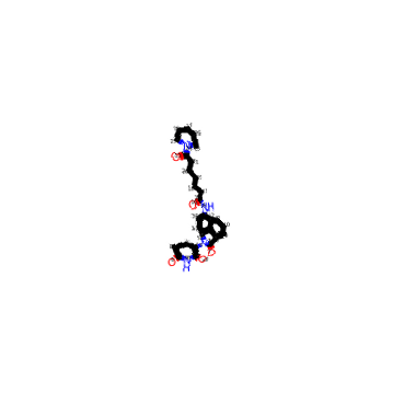 O=C1CCC(N2C(=O)c3cccc4c(NC(=O)CCCCCC(=O)N5CCCCC5)ccc2c34)C(=O)N1